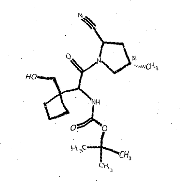 C[C@H]1CC(C#N)N(C(=O)C(NC(=O)OC(C)(C)C)C2(CO)CCC2)C1